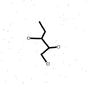 CCC(Cl)C(Cl)CCl